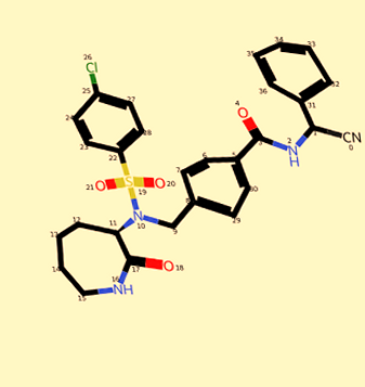 N#CC(NC(=O)c1ccc(CN([C@@H]2CCCCNC2=O)S(=O)(=O)c2ccc(Cl)cc2)cc1)c1ccccc1